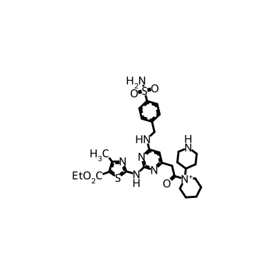 CCOC(=O)c1sc(Nc2nc(CC(=O)[N+]3(C4CCNCC4)CCCCC3)cc(NCc3ccc(S(N)(=O)=O)cc3)n2)nc1C